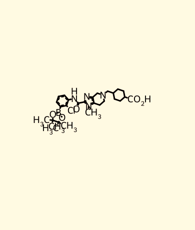 Cn1c(C(=O)Nc2cccc(B3OC(C)(C)C(C)(C)O3)c2Cl)nc2c1CCN(CC1CCC(C(=O)O)CC1)C2